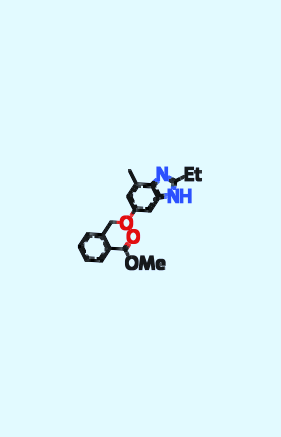 CCc1nc2c(C)cc(OCc3ccccc3C(=O)OC)cc2[nH]1